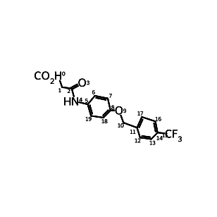 O=C(O)CC(=O)Nc1ccc(OCc2ccc(C(F)(F)F)cc2)cc1